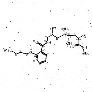 CCCCNC(=O)[C@@H](C[C@H](O)[C@@H](N)C[C@H](CNC(=O)c1cccnc1OCCCOC)C(C)C)C(C)C